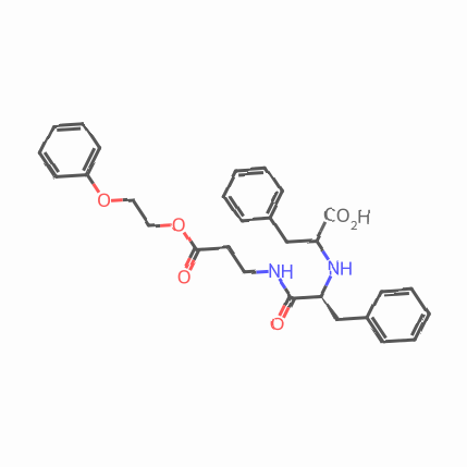 O=C(CCNC(=O)[C@H](Cc1ccccc1)NC(Cc1ccccc1)C(=O)O)OCCOc1ccccc1